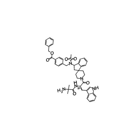 CC(C)(N)C(=O)N[C@H](Cc1c[nH]c2ccccc12)C(=O)N1CCC2(CC1)CC(N(Cc1ccc(C(=O)OCc3ccccc3)cc1)S(C)(=O)=O)c1ccccc12